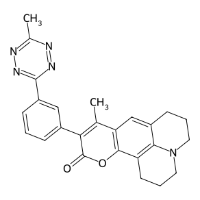 Cc1nnc(-c2cccc(-c3c(C)c4cc5c6c(c4oc3=O)CCCN6CCC5)c2)nn1